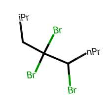 CCCC(Br)C(Br)(Br)CC(C)C